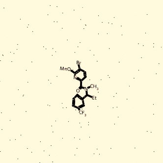 CCC(c1cccc(C(F)(F)F)c1)N(C)C(=O)c1ccc(Br)c(OC)n1